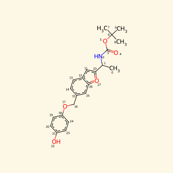 CC(NC(=O)OC(C)(C)C)c1cc2ccc(COc3ccc(O)cc3)cc2o1